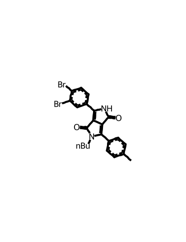 CCCCN1C(=O)C2=C(c3ccc(Br)c(Br)c3)NC(=O)C2=C1c1ccc(C)cc1